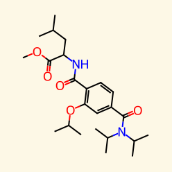 COC(=O)C(CC(C)C)NC(=O)c1ccc(C(=O)N(C(C)C)C(C)C)cc1OC(C)C